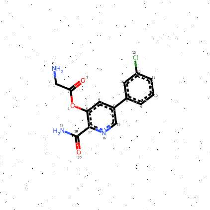 NCC(=O)Oc1cc(-c2cccc(Cl)c2)cnc1C(N)=O